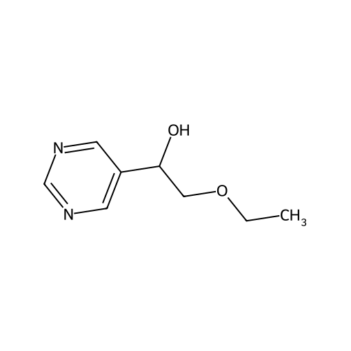 CCOCC(O)c1cncnc1